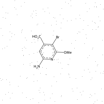 COc1nc(N)cc(C(=O)O)c1Br